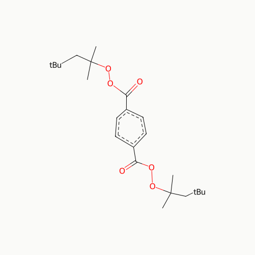 CC(C)(C)CC(C)(C)OOC(=O)c1ccc(C(=O)OOC(C)(C)CC(C)(C)C)cc1